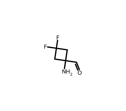 NC1(C=O)CC(F)(F)C1